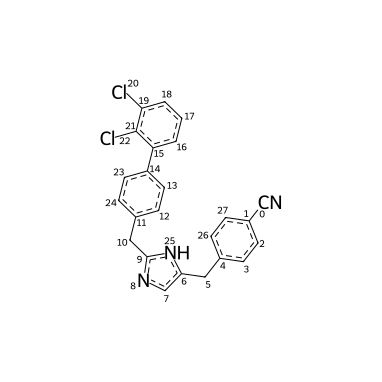 N#Cc1ccc(Cc2cnc(Cc3ccc(-c4cccc(Cl)c4Cl)cc3)[nH]2)cc1